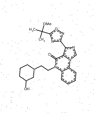 COC(C)(C)c1nc(-c2ncn3c2c(=O)n(CCN2CCCC(O)C2)c2ccccc23)no1